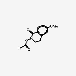 CCC(=O)ON1CCc2cc(OC)ccc2C1=O